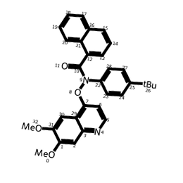 COc1cc2nccc(ON(C(=O)c3cccc4ccccc34)c3ccc(C(C)(C)C)cc3)c2cc1OC